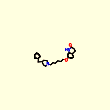 O=C1CCc2ccc(OCCCCCCN3CCC(Cc4ccccc4)CC3)cc2N1